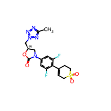 Cc1nnn(C[C@H]2CN(c3cc(F)c(C4=CCS(=O)(=O)CC4)c(F)c3)C(=O)O2)n1